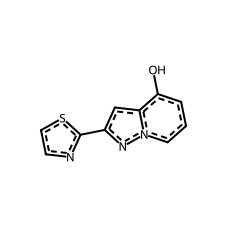 Oc1cccn2nc(-c3nccs3)cc12